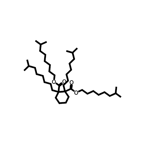 CC(C)CCCCCCOC(=O)C1(CCCCCCC(C)C)CCCCC1(CCCCCCC(C)C)C(=O)OCCCCCCC(C)C